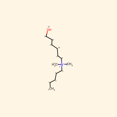 CCCCC[N+](C)(C)CCCCCCO